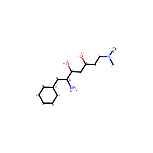 CCN(C)CCC(O)CC(O)C(N)CC1CCCCC1